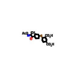 CC(=O)O/N=C(\C)C(=O)c1ccc(Sc2ccc(C(=O)O)cc2C(=O)O)cc1